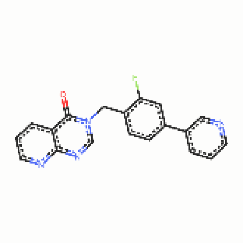 O=c1c2cccnc2ncn1Cc1ccc(-c2cccnc2)cc1F